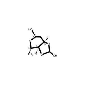 C[C@@H]1O[C@@H](O)C[C@H]2OC(O)O[C@@H]12